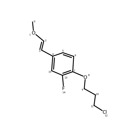 COC=Cc1ccc(OCCCCl)c(F)c1